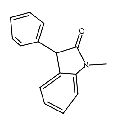 CN1C(=O)C(c2ccccc2)c2ccccc21